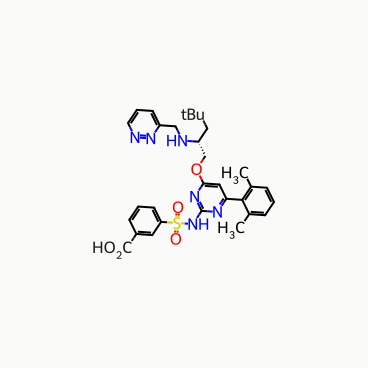 Cc1cccc(C)c1-c1cc(OC[C@@H](CC(C)(C)C)NCc2cccnn2)nc(NS(=O)(=O)c2cccc(C(=O)O)c2)n1